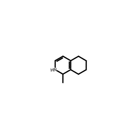 CC1NC=CC2=C1CCCC2